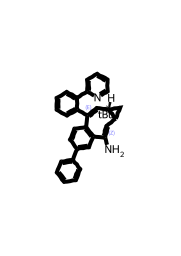 CC(C)(C)C12/C=C(\N)c3cc(-c4ccccc4)ccc3/C(c3ccccc3-c3ccccn3)=C\[C@@H]1C2